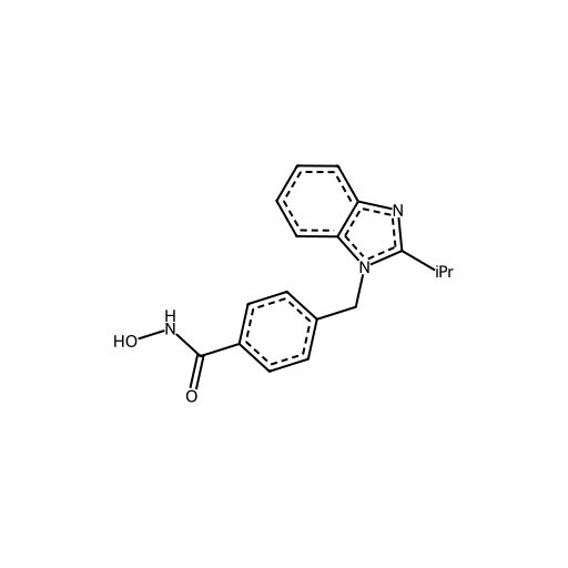 CC(C)c1nc2ccccc2n1Cc1ccc(C(=O)NO)cc1